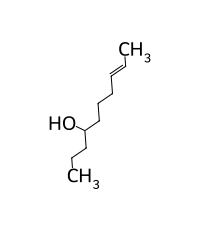 C/C=C/CCCC(O)CCC